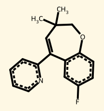 CC1(C)C=C(c2ccccn2)c2cc(F)ccc2OC1